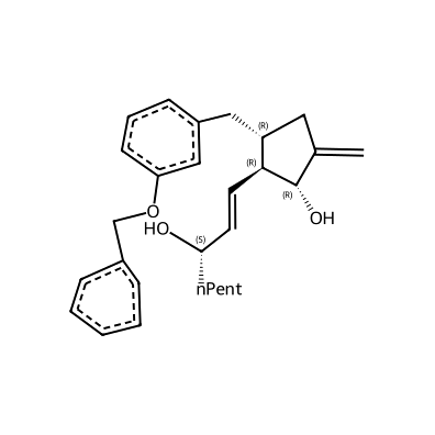 C=C1C[C@@H](Cc2cccc(OCc3ccccc3)c2)[C@H](C=C[C@@H](O)CCCCC)[C@H]1O